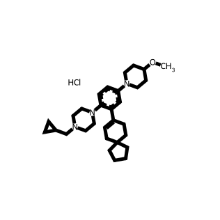 COC1CCN(c2ccc(N3CCN(CC4CC4)CC3)c(C3=CCC4(CCCC4)CC3)c2)CC1.Cl